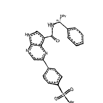 CCC[C@@H](NC(=O)c1c[nH]c2ncc(-c3ccc(S(=O)(=O)C(C)C)cc3)nc12)c1ccccc1